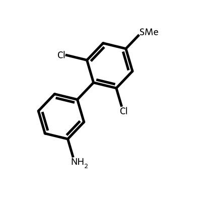 CSc1cc(Cl)c(-c2cccc(N)c2)c(Cl)c1